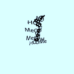 C/C=C(\C)C(=O)O[C@@H]1CC2C(CC=C3C[C@@H](O[C@H]4C[C@@H](OC)[C@H](O[C@H]5C[C@@H](OC)[C@H](O[C@@H]6OC(C)[C@@H](O)[C@H](OC)C6O)C(C)O5)C(C)O4)CC[C@@]32C)[C@@]2(O)CC[C@H](C(C)=O)[C@@]12C